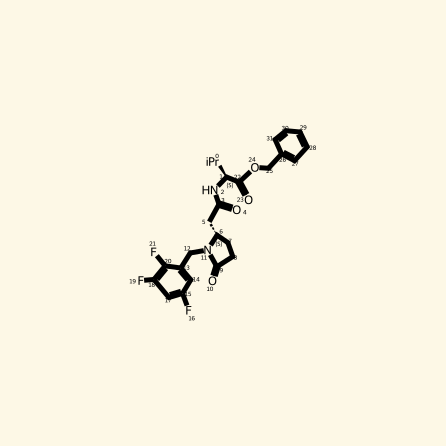 CC(C)[C@H](NC(=O)C[C@@H]1CCC(=O)N1Cc1cc(F)cc(F)c1F)C(=O)OCc1ccccc1